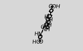 CC1(C)C(c2ccc(C(=O)O)cc2)=CC[C@]2(C)[C@H]3CC[C@@H]4[C@H]5CCC[C@]5(C(=O)NCCNc5ccc(C(=O)O)cc5)CC[C@@]4(C)[C@]3(C)CC[C@@H]12